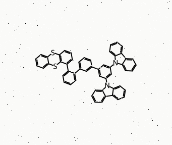 c1cc(-c2cc(-n3c4ccccc4c4ccccc43)cc(-n3c4ccccc4c4ccccc43)c2)cc(-c2ccccc2-c2cccc3c2Sc2ccccc2S3)c1